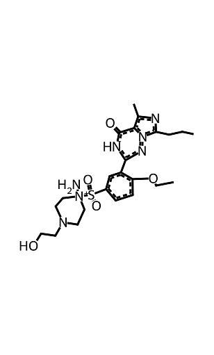 CCCc1nc(C)c2c(=O)[nH]c(-c3cc(S(=O)(=O)[N+]4(N)CCN(CCO)CC4)ccc3OCC)nn12